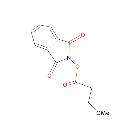 COCCC(=O)ON1C(=O)c2ccccc2C1=O